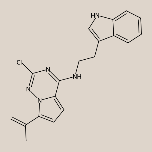 C=C(C)c1ccc2c(NCCc3c[nH]c4ccccc34)nc(Cl)nn12